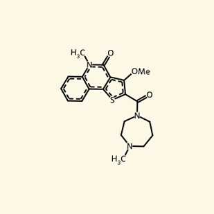 COc1c(C(=O)N2CCCN(C)CC2)sc2c1c(=O)n(C)c1ccccc21